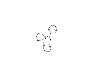 C[C@H](c1ccccc1)N1CCCC[C@H]1c1ccccc1